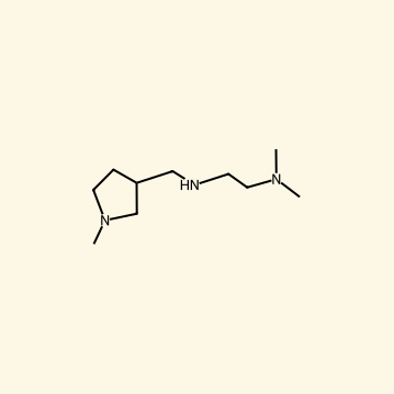 CN(C)CCNCC1CCN(C)C1